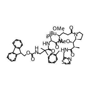 CC[C@H](C)[C@@H]([C@@H](CC(=O)N1CCC[C@H]1[C@H](OC)[C@@H](C)C(=O)N[C@@H](Cc1ccccc1)c1nccs1)OC)N(C)C(=O)[C@@H](NC(=O)C(C)(C)CNC(=O)OCC1c2ccccc2-c2ccccc21)C(C)C